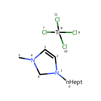 CCCCCCCN1C=CN(C)C1.[Cl][Ti]([Cl])([Cl])[Cl]